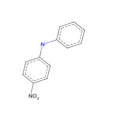 O=[N+]([O-])c1ccc([N]c2ccccc2)cc1